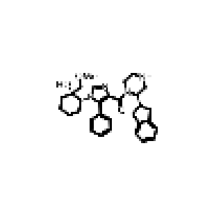 COC[C@]1(O)CCCC[C@H]1n1cnc(C(=O)N2CCNC[C@H]2C2Cc3ccccc3C2)c1-c1ccccc1